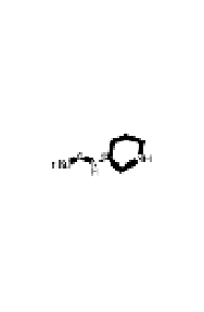 CCCCON[C@@H]1CCCNC1